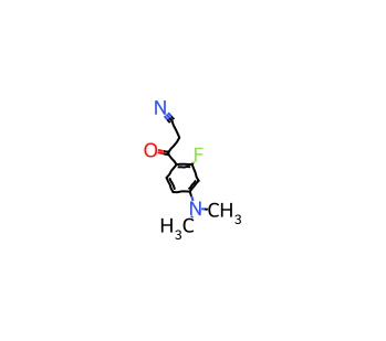 CN(C)c1ccc(C(=O)CC#N)c(F)c1